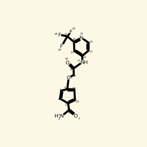 NC(=O)c1ccc(OCC(=O)Nc2ccnc(C(F)(F)F)c2)cc1